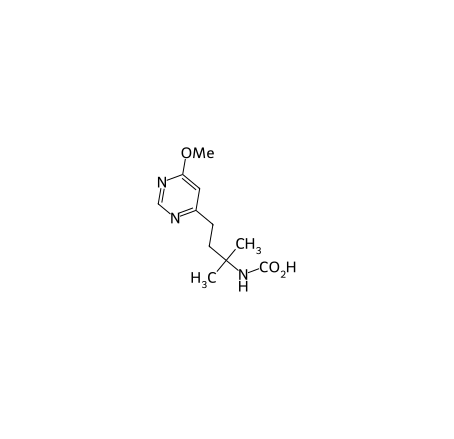 COc1cc(CCC(C)(C)NC(=O)O)ncn1